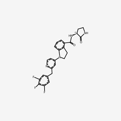 O=C(N[C@H]1CCNC1=O)c1cccc2c1CCN2c1ccnc(Cc2cc(F)c(F)c(F)c2)c1